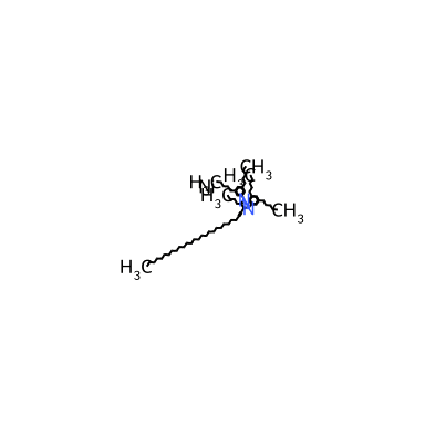 CCCCCCCCCCCCCCCCCCCCCCCCCC#CC(=Nc1cc(CCCCC)cc(CCCCC)c1)C(CCCC)=Nc1cc(CCCCC)cc(CCCCC)c1.[Ni]